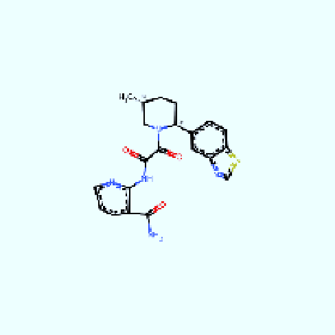 C[C@@H]1CC[C@@H](c2ccc3scnc3c2)N(C(=O)C(=O)Nc2ncccc2C(N)=O)C1